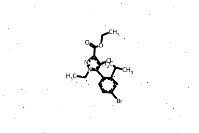 CCOC(=O)c1nn(CC)c(-c2ccc(Br)cc2C(C)C)c1Cl